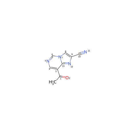 CC(=O)c1cn[c]n2cc(C#N)nc12